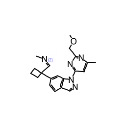 C/N=C\C1(c2ccc3cnn(-c4cc(C)nc(COC)n4)c3c2)CCC1